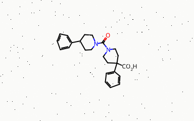 O=C(N1CCC(c2ccccc2)CC1)N1CCC(C(=O)O)(c2ccccc2)CC1